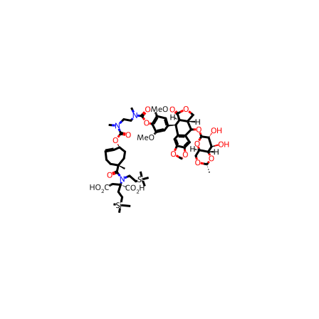 COc1cc([C@@H]2c3cc4c(cc3C(OC3O[C@@H]5CO[C@@H](C)O[C@H]5[C@H](O)[C@H]3O)[C@H]3COC(=O)[C@H]23)OCO4)cc(OC)c1OC(=O)N(C)CCN(C)C(=O)O[C@H]1/C=C/CC[C@@](C)(C(=O)N(CC[Si](C)(C)C)[C@@](CC[Si](C)(C)C)(CC(=O)O)C(=O)O)CC1